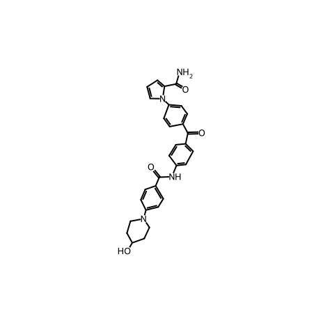 NC(=O)c1cccn1-c1ccc(C(=O)c2ccc(NC(=O)c3ccc(N4CCC(O)CC4)cc3)cc2)cc1